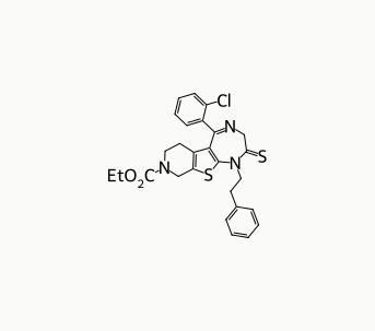 CCOC(=O)N1CCc2c(sc3c2C(c2ccccc2Cl)=NCC(=S)N3CCc2ccccc2)C1